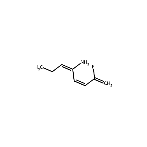 C=C(F)/C=C\C(N)=C/CC